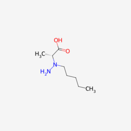 CCCCCN(N)[C@H](C)C(=O)O